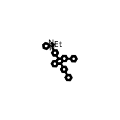 CCc1nc2ccccc2n1-c1ccc(-c2c3ccccc3c(-c3ccc(-c4ccccc4)cc3)c3cc(-c4ccccc4)ccc23)cc1